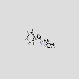 [CH]/N=C/Oc1ccccc1